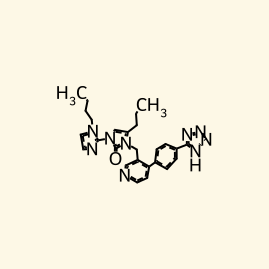 CCCCn1ccnc1-n1cc(CCC)n(Cc2cnccc2-c2ccc(-c3nnn[nH]3)cc2)c1=O